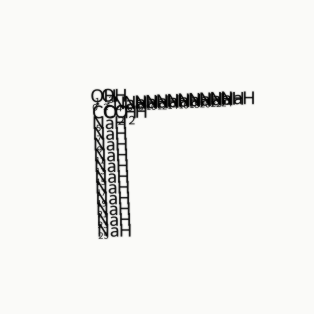 O=C(O)O.O=C(O)O.[NaH].[NaH].[NaH].[NaH].[NaH].[NaH].[NaH].[NaH].[NaH].[NaH].[NaH].[NaH].[NaH].[NaH].[NaH].[NaH].[NaH].[NaH].[NaH].[NaH].[NaH].[NaH]